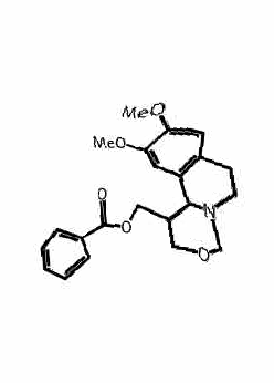 COc1cc2c(cc1OC)C1C(COC(=O)c3ccccc3)COCN1CC2